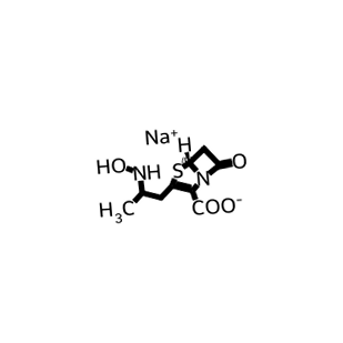 CC(CC1=C(C(=O)[O-])N2C(=O)C[C@H]2S1)NO.[Na+]